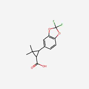 CC1(C)C(C(=O)O)C1c1ccc2c(c1)OC(F)(F)O2